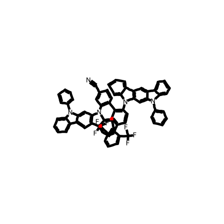 N#Cc1ccc(-c2cc(-c3c(C(F)(F)F)cccc3C(F)(F)F)ccc2-n2c3ccccc3c3cc4c5ccccc5n(-c5ccccc5)c4cc32)c(-n2c3ccccc3c3cc4c5ccccc5n(-c5ccccc5)c4cc32)c1